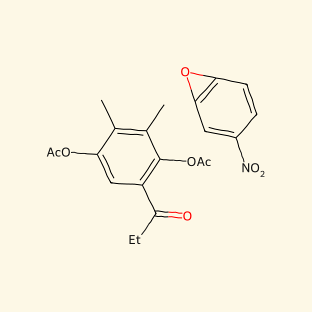 CCC(=O)c1cc(OC(C)=O)c(C)c(C)c1OC(C)=O.O=[N+]([O-])c1ccc2c(c1)O2